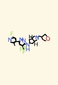 Cc1cnc(F)cc1-c1cc(C(F)(F)F)c(N[C@H]2C[C@@H]3CN(CC4CCOCC4)C[C@@H]3C2)nn1